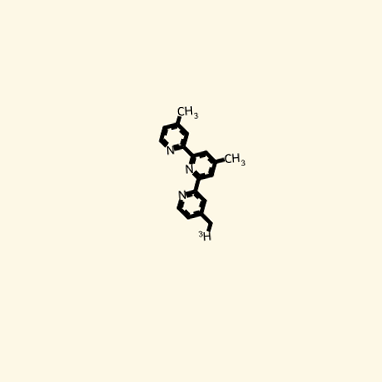 [3H]Cc1ccnc(-c2cc(C)cc(-c3cc(C)ccn3)n2)c1